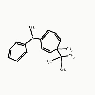 CN(C1=CC=CC(C)(C(C)(C)C)C=C1)c1ccccc1